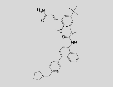 COc1c(/C=C/C(N)=O)cc(C(C)(C)C)cc1NC(=O)Nc1ccc(-c2ccc(CN3CCCC3)nc2)c2ccccc12